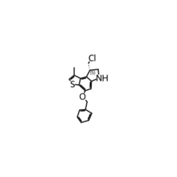 Cc1csc2c(OCc3ccccc3)cc3c(c12)[C@H](CCl)CN3